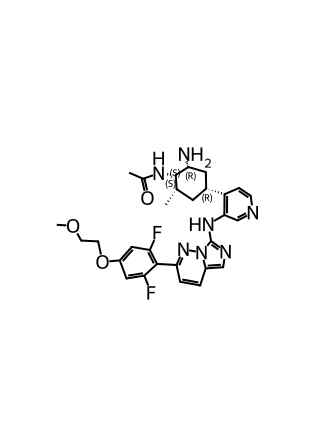 COCCOc1cc(F)c(-c2ccc3cnc(Nc4cnccc4[C@H]4C[C@@H](N)[C@@H](NC(C)=O)[C@@H](C)C4)n3n2)c(F)c1